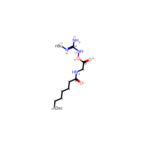 CCCCCCCCCCCCCCCC(=O)NCC(=O)ONC(N)=NCCCC